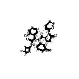 O=C(NC1CC(F)(F)C1)[C@H](c1ccccc1Cl)N(C(=O)[C@@H]1CCC(=O)N1c1cccnn1)c1cccc(F)c1